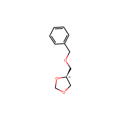 c1ccc(COC[C@H]2COCO2)cc1